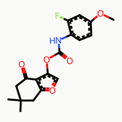 COc1ccc(NC(=O)Oc2coc3c2C(=O)CC(C)(C)C3)c(F)c1